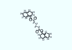 O=C(CCCCC(=O)Oc1cccc2ccccc12)Oc1cccc2ccccc12